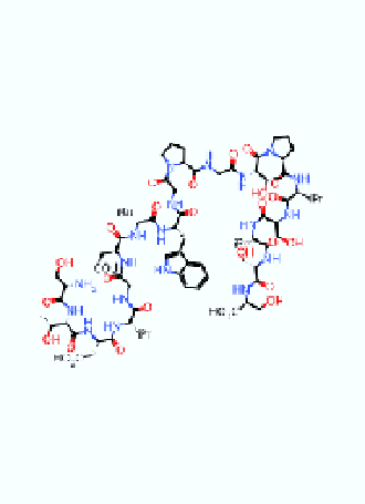 CC[C@H](C)[C@H](NC(=O)[C@H](CC(=O)O)NC(=O)CNC(=O)[C@@H](NC(=O)[C@H](CC(=O)O)NC(=O)[C@@H](NC(=O)[C@@H](N)CO)[C@@H](C)O)C(C)C)C(=O)N[C@@H](Cc1c[nH]c2ccccc12)C(=O)NCC(=O)N1CCC[C@H]1C(=O)NCC(=O)N[C@H](C(=O)N1CCC[C@H]1C(=O)N[C@H](C(=O)N[C@H](C(=O)N[C@H](C(=O)N[C@@H](CO)C(=O)N[C@@H](CO)C(=O)O)C(C)C)[C@@H](C)O)C(C)C)[C@@H](C)O